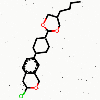 CCCCC1COC(C2CCC(c3ccc4c(c3)COC(Cl)C4)CC2)OC1